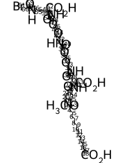 CN(C(=O)CCCCCCCCCCCCCCC(=O)O)C1CCC(C(=O)N[C@@H](CCC(=O)NCCOCCOCC(=O)NCCOCCOCC(=O)N[C@@H](CCCCNC(=O)CBr)C(=O)O)C(=O)O)CC1